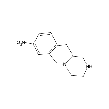 O=[N+]([O-])c1ccc2c(c1)CN1CCNCC1C2